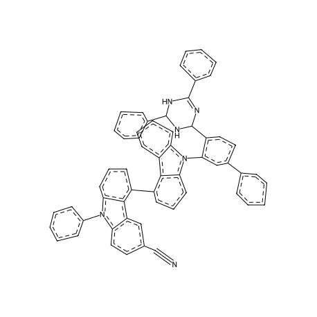 N#Cc1ccc2c(c1)c1c(-c3cccc4c3c3ccccc3n4-c3cc(-c4ccccc4)ccc3C3N=C(c4ccccc4)NC(c4ccccc4)N3)cccc1n2-c1ccccc1